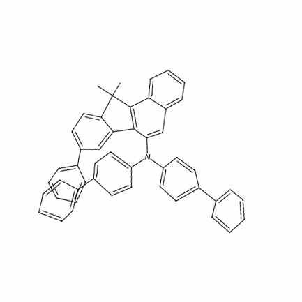 CC1(C)c2ccc(-c3ccccc3)cc2-c2c(N(c3ccc(-c4ccccc4)cc3)c3ccc(-c4ccccc4)cc3)cc3ccccc3c21